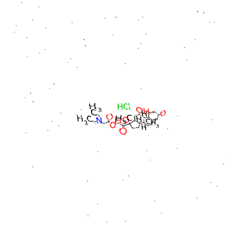 CCN(CC)CC(=O)OCC(=O)[C@@]1(O)CC[C@H]2[C@@H]3CCC4=CC(=O)C=C[C@]4(C)[C@H]3C(O)C[C@@]21C.Cl